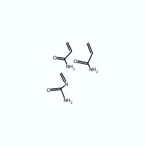 C=CC(N)=O.C=CC(N)=O.C=NC(N)=O